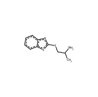 CC(N)CSc1nc2ccccc2s1